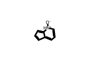 [O-][NH+]1C=CC=C2C=CC=C21